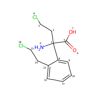 NC(CCCl)(C(=O)O)c1ccccc1CCCl